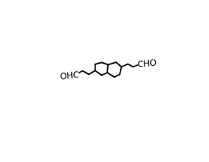 O=CCCC1CCC2CC(CCC=O)CCC2C1